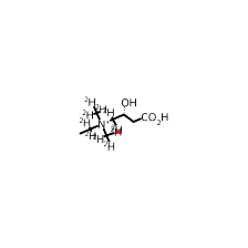 [2H]C([2H])([2H])[N+](C([2H])([2H])[2H])(C([2H])([2H])C)C([2H])([2H])[C@H](O)CC(=O)O